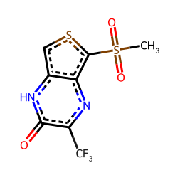 CS(=O)(=O)c1scc2[nH]c(=O)c(C(F)(F)F)nc12